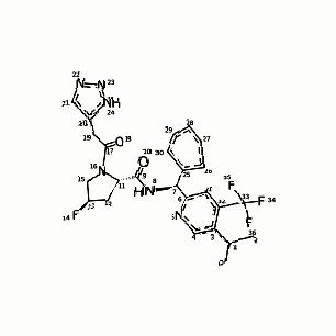 CC(C)c1cnc([C@@H](NC(=O)[C@@H]2C[C@@H](F)CN2C(=O)Cc2cnn[nH]2)c2ccccc2)cc1C(F)(F)F